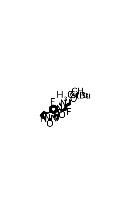 CC(C)(C)[Si](C)(C)OCCc1n[c]nc(OC2CN(C(=O)N3N=CC[C@H]3c3cc(F)cc(F)c3)C2)c1F